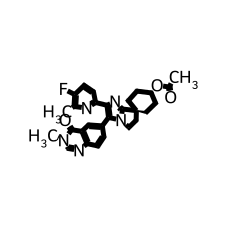 CC(=O)O[C@H]1CC[C@]2(CCn3c(-c4ccc5ncn(C)c(=O)c5c4)c(-c4ccc(F)c(C)n4)nc32)CC1